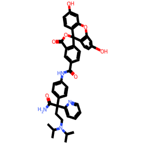 CC(C)N(CCC(C(N)=O)(c1ccc(NC(=O)c2ccc3c(c2)C(=O)OC32c3ccc(O)cc3Oc3cc(O)ccc32)cc1)c1ccccn1)C(C)C